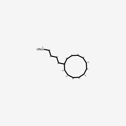 CCCCCCCCCCCCCC1CCCCCCCCCCC1